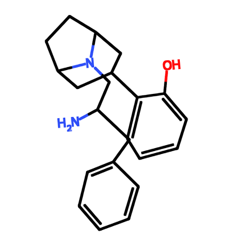 NC(Cc1ccccc1)CN1C2CCC1CC(c1ccccc1O)C2